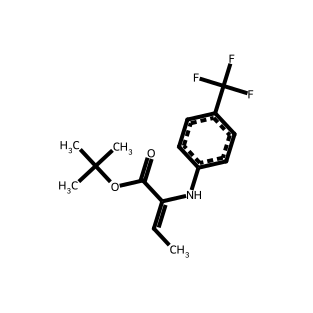 C/C=C(\Nc1ccc(C(F)(F)F)cc1)C(=O)OC(C)(C)C